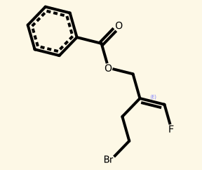 O=C(OC/C(=C/F)CCBr)c1ccccc1